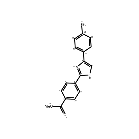 COC(=O)c1ccc(-c2nc(-c3ccc(C(C)(C)C)cc3)cs2)cc1